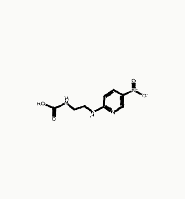 O=C(O)NCCNc1ccc([N+](=O)[O-])cn1